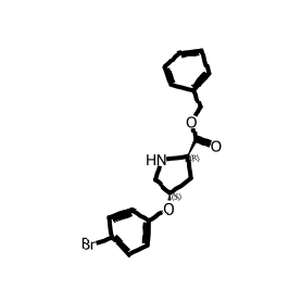 O=C(OCc1ccccc1)[C@H]1C[C@H](Oc2ccc(Br)cc2)CN1